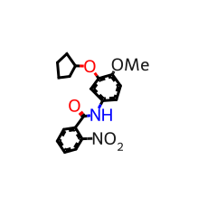 COc1ccc(NC(=O)c2ccccc2[N+](=O)[O-])cc1OC1CCCC1